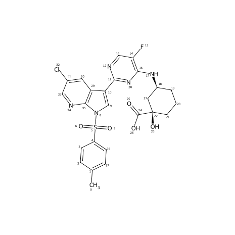 Cc1ccc(S(=O)(=O)n2cc(-c3ncc(F)c(N[C@H]4CCC[C@](O)(C(=O)O)C4)n3)c3cc(Cl)cnc32)cc1